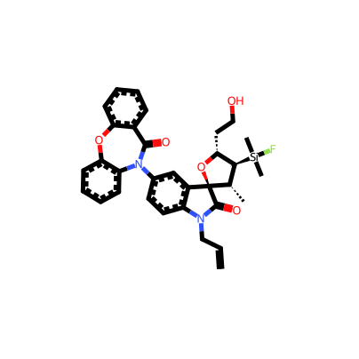 C=CCN1C(=O)[C@]2(O[C@H](CCO)[C@@H]([Si](C)(C)F)[C@@H]2C)c2cc(N3C(=O)c4ccccc4Oc4ccccc43)ccc21